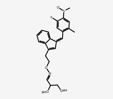 COCC(C=NOCCC1=C/C(=C/c2cc(F)c([S+](C)[O-])cc2C)c2ccccc21)OC